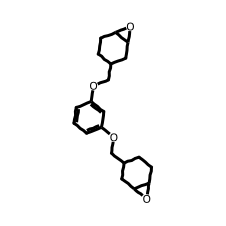 c1cc(OCC2CCC3OC3C2)cc(OCC2CCC3OC3C2)c1